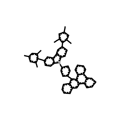 Cc1cc(C)c(-c2ccc3c(c2)c2cc(-c4c(C)cc(C)cc4C)ccc2n3-c2ccc(-c3c4ccccc4cc4c5ccccc5c5ccccc5c34)cc2)c(C)c1